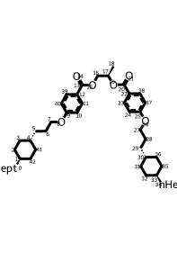 CCCCCCC[C@H]1CC[C@H](CCCOc2ccc(C(=O)OC[C@@H](C)OC(=O)c3ccc(OCCC[C@H]4CC[C@H](CCCCCCC)CC4)cc3)cc2)CC1